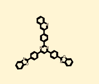 c1ccc2ncc(-c3ccc(-c4nc(-c5ccc(-c6nc7ccccc7o6)cc5)cc(-c5ccc(-c6nc7ccccc7o6)cc5)n4)cc3)cc2c1